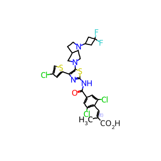 C/C(=C\c1c(Cl)cc(C(=O)Nc2nc(-c3cc(Cl)cs3)c(N3CC4CCN(C5CC(F)(F)C5)C4C3)s2)cc1Cl)C(=O)O